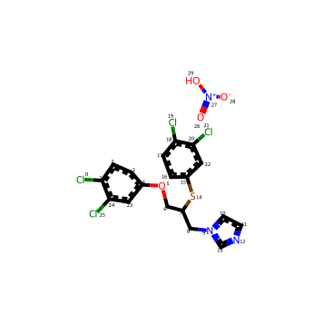 Clc1ccc(OCC(Cn2ccnc2)Sc2ccc(Cl)c(Cl)c2)cc1Cl.O=[N+]([O-])O